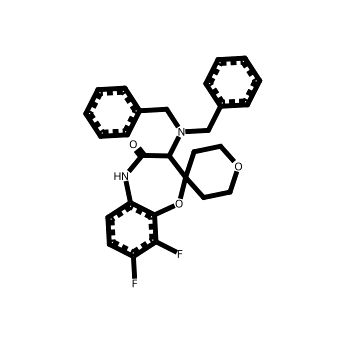 O=C1Nc2ccc(F)c(F)c2OC2(CCOCC2)C1N(Cc1ccccc1)Cc1ccccc1